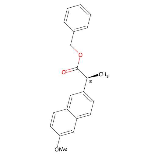 COc1ccc2cc([C@H](C)C(=O)OCc3ccccc3)ccc2c1